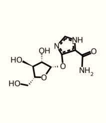 NC(=O)c1[nH]cnc1O[C@@H]1O[C@H](CO)[C@@H](O)[C@@H]1O